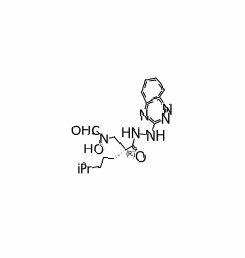 CC(C)CCC[C@H](CN(O)C=O)C(=O)NNc1nnc2ccccc2n1